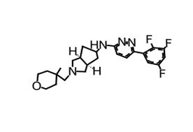 CC1(CN2C[C@H]3CC(Nc4ccc(-c5cc(F)cc(F)c5F)nn4)C[C@H]3C2)CCOCC1